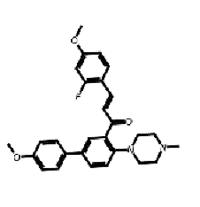 COc1ccc(-c2ccc(N3CCN(C)CC3)c(C(=O)C=Cc3ccc(OC)cc3F)c2)cc1